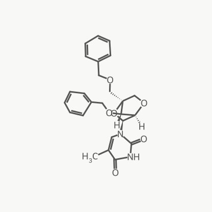 Cc1cn([C@H]2O[C@@]3(COCc4ccccc4)CO[C@@H]2[C@@H]3OCc2ccccc2)c(=O)[nH]c1=O